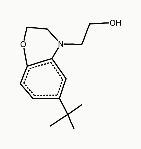 CC(C)(C)c1ccc2c(c1)N(CCO)CCO2